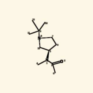 CC(=O)N(C)[C@@H]1CCN(C(C)(C)C)C1